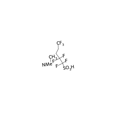 CNC.O=S(=O)(O)C(F)(F)C(F)(F)CCC(F)(F)F